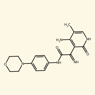 Cc1c[nH]c(=O)c(C(=N)C(=O)Nc2ccc(N3CCOCC3)cc2)c1N